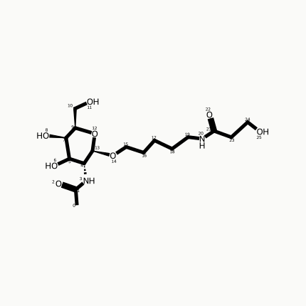 CC(=O)N[C@@H]1C(O)[C@@H](O)[C@@H](CO)O[C@H]1OCCCCCNC(=O)CCO